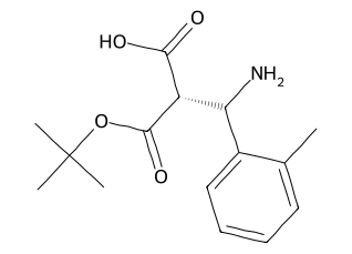 Cc1ccccc1C(N)[C@@H](C(=O)O)C(=O)OC(C)(C)C